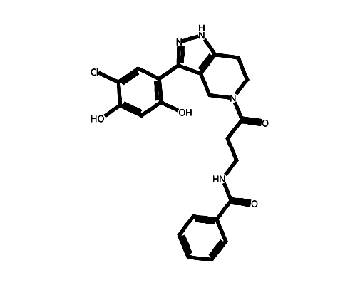 O=C(NCCC(=O)N1CCc2[nH]nc(-c3cc(Cl)c(O)cc3O)c2C1)c1ccccc1